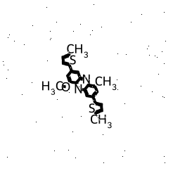 COc1cc(-c2ccc(C)s2)cc2nc3c(C)cc(-c4ccc(C)s4)cc3nc12